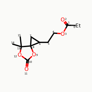 CCC(=O)OCCC1CC12OC(=O)OC2(C)C